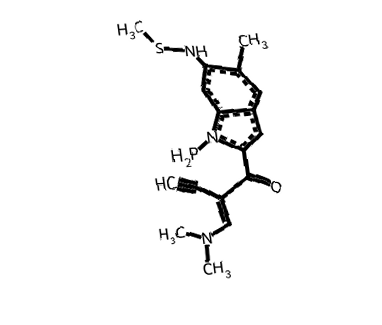 C#C/C(=C\N(C)C)C(=O)c1cc2cc(C)c(NSC)cc2n1P